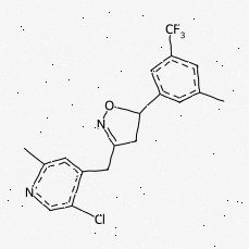 Cc1cc(C2CC(Cc3cc(C)ncc3Cl)=NO2)cc(C(F)(F)F)c1